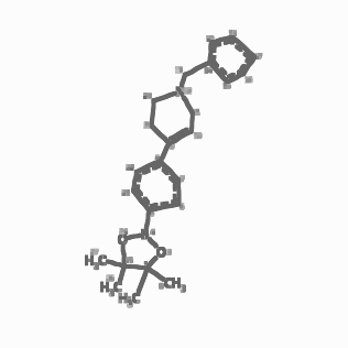 CC1(C)OB(c2ccc(C3=CCN(Cc4ccccc4)CC3)cc2)OC1(C)C